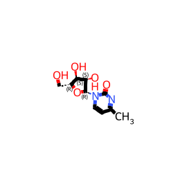 Cc1ccn([C@@H]2O[C@H](CO)[C@@H](O)[C@@H]2O)c(=O)n1